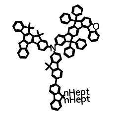 CCCCCCCC1(CCCCCCC)c2ccccc2-c2ccc(-c3ccc4c(c3)C(C)(C)c3cc(N(c5ccc6c(c5)C(C)(C)c5c-6c6c(c7c5C(C)(C)c5ccccc5-7)Cc5ccccc5-6)c5ccc6c(c5)C(c5ccccc5)(c5ccccc5)c5cc7c(cc5-6)C(c5ccccc5)(c5ccccc5)c5ccc6oc8ccccc8c6c5-7)ccc3-4)cc21